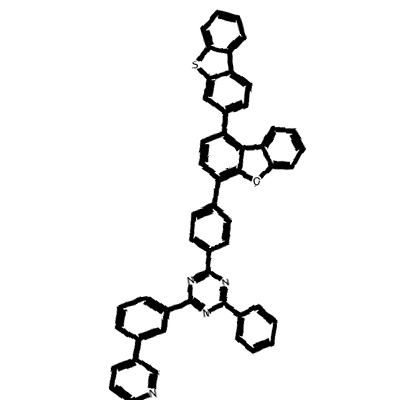 c1ccc(-c2nc(-c3ccc(-c4ccc(-c5ccc6c(c5)sc5ccccc56)c5c4oc4ccccc45)cc3)nc(-c3cccc(-c4cccnc4)c3)n2)cc1